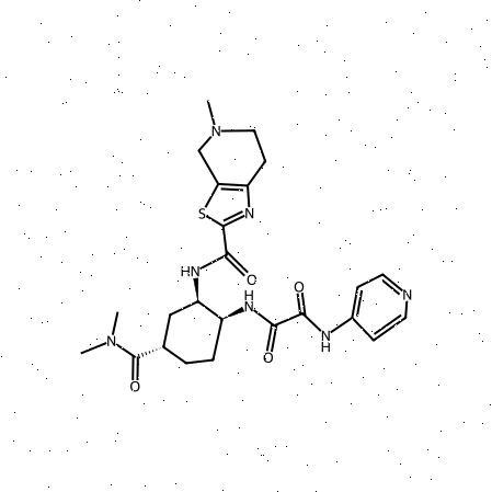 CN1CCc2nc(C(=O)N[C@@H]3C[C@@H](C(=O)N(C)C)CC[C@@H]3NC(=O)C(=O)Nc3ccncc3)sc2C1